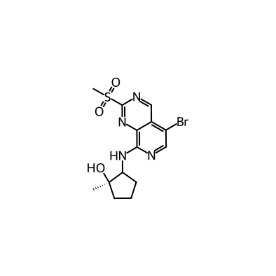 C[C@@]1(O)CCCC1Nc1ncc(Br)c2cnc(S(C)(=O)=O)nc12